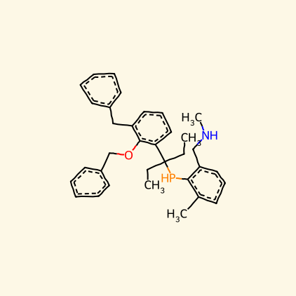 CCC(CC)(Pc1c(C)cccc1CNC)c1cccc(Cc2ccccc2)c1OCc1ccccc1